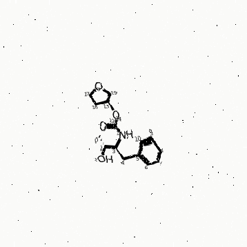 C[C@@H](O)[C@H](Cc1ccccc1)NC(=O)O[C@H]1CCOC1